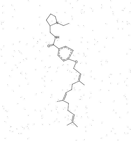 CCN1CCCC1CNC(=O)c1ccc(OCC=C(C)CCC=C(C)CCC=C(C)C)cc1